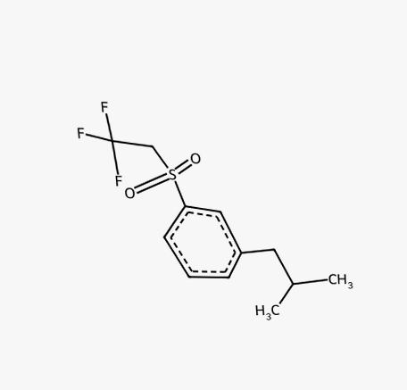 CC(C)Cc1cccc(S(=O)(=O)CC(F)(F)F)c1